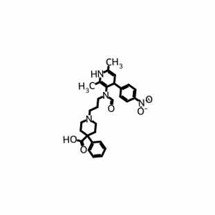 CC1=CC(c2ccc([N+](=O)[O-])cc2)C(N(C=O)CCCN2CCC(C(=O)O)(c3ccccc3)CC2)=C(C)N1